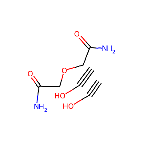 C#CO.C#CO.NC(=O)COCC(N)=O